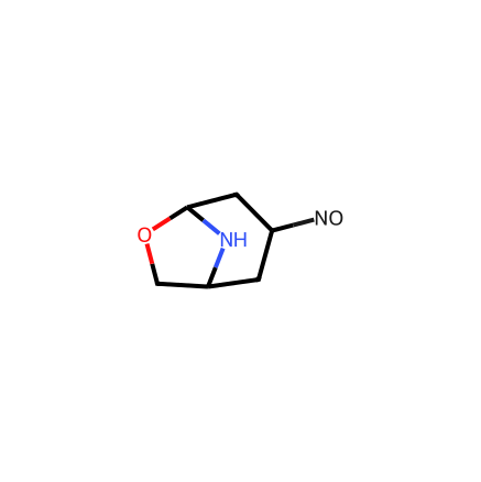 O=NC1CC2COC(C1)N2